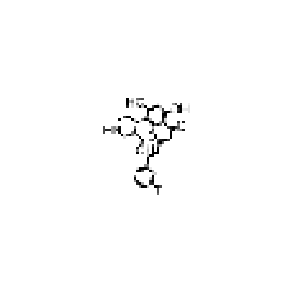 O=c1cc(C=Cc2cccc(F)c2)oc2c(C3CCNCC3CO)c(O)cc(O)c12